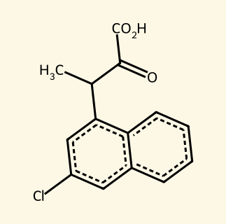 CC(C(=O)C(=O)O)c1cc(Cl)cc2ccccc12